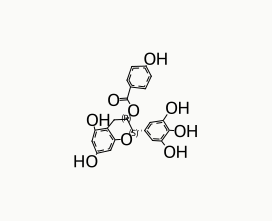 O=C(O[C@@H]1Cc2c(O)cc(O)cc2O[C@H]1c1cc(O)c(O)c(O)c1)c1ccc(O)cc1